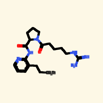 CCOC(=O)CCc1cccnc1NC(=O)C1CCCN1C(=O)CCCCNC(=N)N